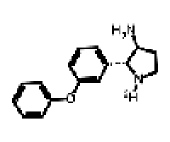 [2H]N1CCC(N)[C@H]1c1cccc(Oc2ccccc2)c1